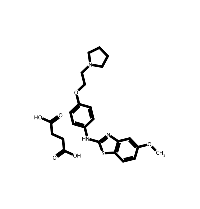 COc1ccc2sc(Nc3ccc(OCCN4CCCC4)cc3)nc2c1.O=C(O)CCC(=O)O